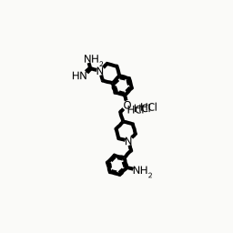 Cl.Cl.Cl.N=C(N)N1CCc2ccc(OCC3CCN(Cc4ccccc4N)CC3)cc2C1